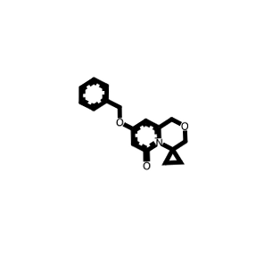 O=c1cc(OCc2ccccc2)cc2n1C1(CC1)COC2